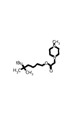 CN1CCN(CC(=O)OCCCCC(C)(C)C(C)(C)C)CC1